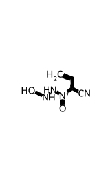 C=CC(C#N)[N+](=O)NNO